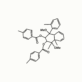 COC1(c2ccccc2C)C(OC(=O)c2ccc(C)cc2)C(OC(=O)c2ccc(C)cc2)C(C)(OC)C2(C)C=CC=CC12